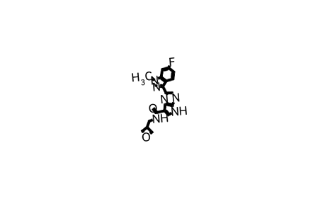 Cn1nc(-c2cnc3[nH]cc(C(=O)NCC4COC4)c3n2)c2ccc(F)cc21